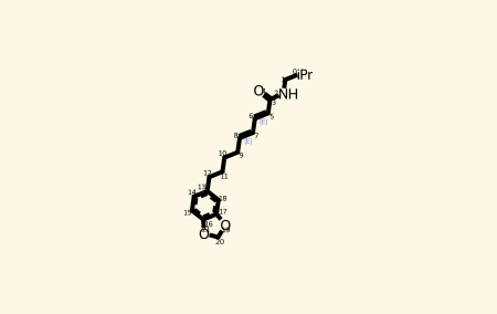 CC(C)CNC(=O)/C=C/C=C/CCCCc1ccc2c(c1)OCO2